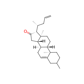 C=CC[C@@H](C)[C@H]1C(=O)C[C@H]2[C@@H]3CC=C4CC(C)CC[C@]4(C)[C@H]3CC[C@]12C